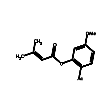 COc1ccc(C(C)=O)c(OC(=O)C=C(C)C)c1